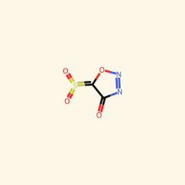 O=C1N=NOC1=S(=O)=O